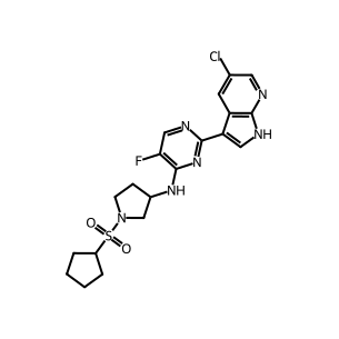 O=S(=O)(C1CCCC1)N1CCC(Nc2nc(-c3c[nH]c4ncc(Cl)cc34)ncc2F)C1